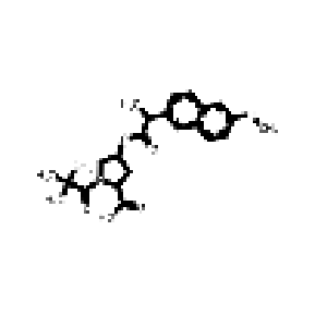 COc1ccc2cc(C(C)C(=O)OC3CC(C(=O)O)N(C(=O)C(C)(C)C)C3)ccc2c1